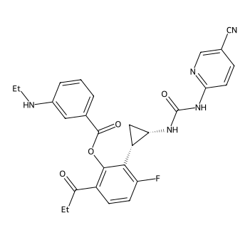 CCNc1cccc(C(=O)Oc2c(C(=O)CC)ccc(F)c2[C@@H]2C[C@@H]2NC(=O)Nc2ccc(C#N)cn2)c1